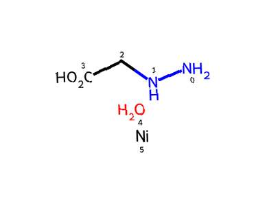 NNCC(=O)O.O.[Ni]